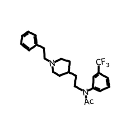 CC(=O)N(CCC1CCN(CCc2ccccc2)CC1)c1cccc(C(F)(F)F)c1